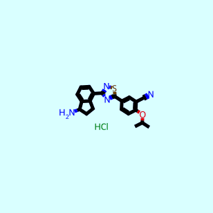 CC(C)Oc1ccc(-c2nc(-c3cccc4c3CCC4N)ns2)cc1C#N.Cl